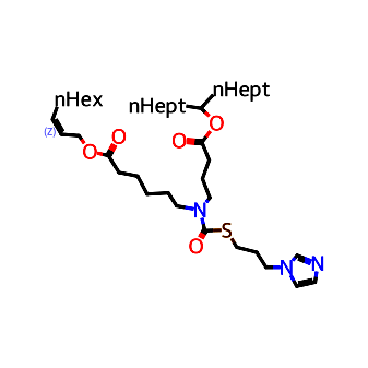 CCCCCC/C=C\COC(=O)CCCCCN(CCCC(=O)OC(CCCCCCC)CCCCCCC)C(=O)SCCCn1ccnc1